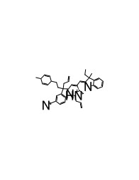 C=CCC[N+]1=C(/C=C(/C=C2\N(C)c3ccccc3C2(C)CC)[C@H]2CN2)C(CC=C)(CCC2C=CC(C)C=C2)c2cc(C#N)ccc21